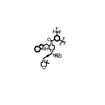 CC1(C)COCCN1CC#CCN1CCN(C(=O)c2cc(C(F)(F)F)cc(C(F)(F)F)c2)C(Cc2cc3ccccc3[nH]2)C1.Cl.Cl